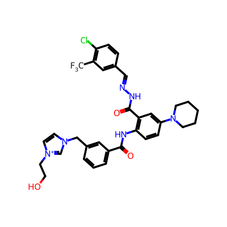 O=C(Nc1ccc(N2CCCCC2)cc1C(=O)NN=Cc1ccc(Cl)c(C(F)(F)F)c1)c1cccc(Cn2cc[n+](CCO)c2)c1